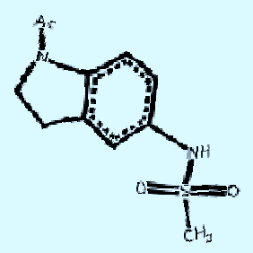 CC(=O)N1CCc2cc(NS(C)(=O)=O)ccc21